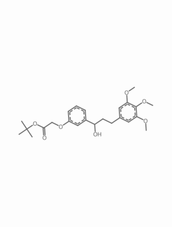 COc1cc(CCC(O)c2cccc(OCC(=O)OC(C)(C)C)c2)cc(OC)c1OC